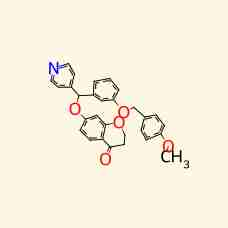 COc1ccc(COc2cccc(C(Oc3ccc4c(c3)OCCC4=O)c3ccncc3)c2)cc1